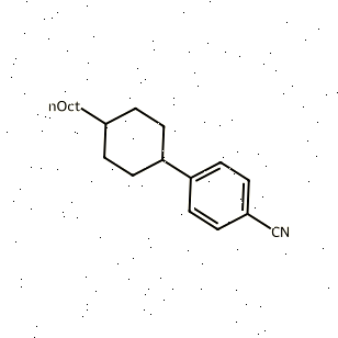 CCCCCCCCC1CCC(c2ccc(C#N)cc2)CC1